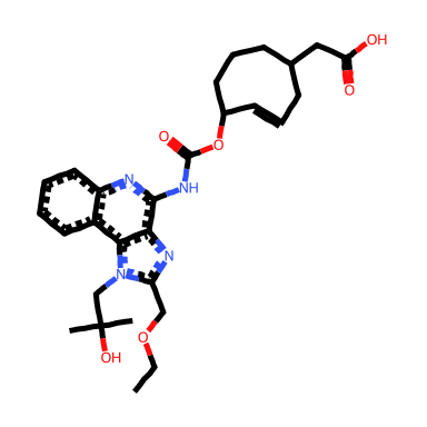 CCOCc1nc2c(NC(=O)OC3/C=C/CC(CC(=O)O)CCC3)nc3ccccc3c2n1CC(C)(C)O